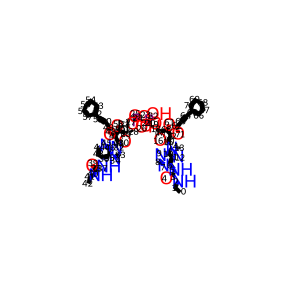 CCNC(=O)Nc1ncnc2c1ncn2[C@@H]1O[C@H](COP(=O)(O)OP(=O)(O)OC[C@H]2O[C@@H](n3cnc4c(NC(=O)NCC)ccnc43)C3OC(C#Cc4ccccc4)O[C@H]32)C2OC(C#Cc3ccccc3)OC21